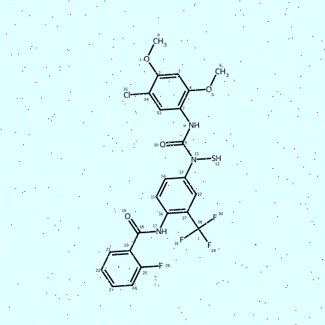 COc1cc(OC)c(NC(=O)N(S)c2ccc(NC(=O)c3ccccc3F)c(C(F)(F)F)c2)cc1Cl